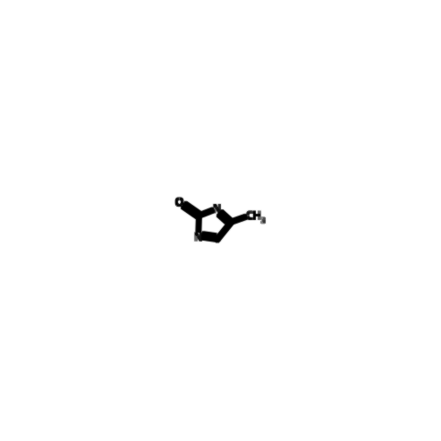 CC1=NC(=O)N=[C]1